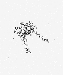 CCCCCCCCON1C(C)(C)CC(C(CCC)(C(=O)O)C2CC(C)(C)N(OCCCCCCCC)C(C)(C)C2)CC1(C)C